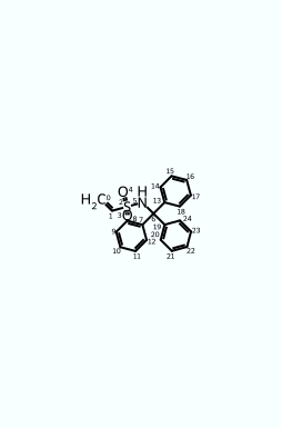 C=CS(=O)(=O)NC(c1ccccc1)(c1ccccc1)c1ccccc1